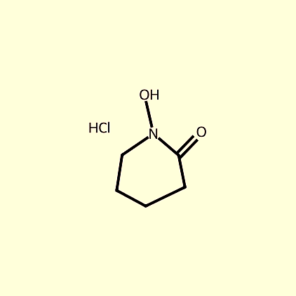 Cl.O=C1CCCCN1O